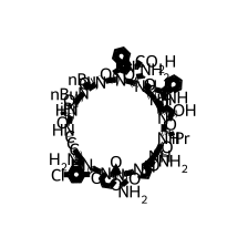 CCCC[C@H]1C(=O)N(C)[C@@H](CCCC)C(=O)N[C@@H](CC(C)C)C(=O)NCCC[C@@H](N)C(=O)N[C@@H](Cc2ccc(Cl)cc2)C(=O)N2CCCC[C@@]23C(=O)N3[C@@H](CC(N)=O)C(=O)N2CCC[C@H]2C(=O)N[C@@H](CN)C(=O)N[C@@H](CC(C)C)C(=O)N2C[C@H](O)C[C@H]2C(=O)N[C@@H](Cc2c[nH]c3ccccc23)C(=O)N[C@@H](CCN)C(=O)N[C@@H](Cc2cn(CC(=O)O)c3ccccc23)C(=O)N1C